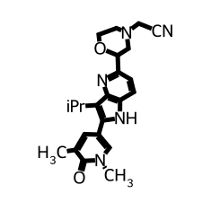 Cc1cc(-c2[nH]c3ccc(C4CN(CC#N)CCO4)nc3c2C(C)C)cn(C)c1=O